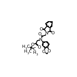 CC(C)(C)OC(=O)CN(C(=O)CN1C(=O)c2ccccc2C1=O)c1ccc2c(c1)OCO2